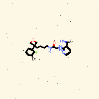 CCc1cccc(C2(CCCCNC(=O)CNc3ncccc3C(=N)C(C)=O)COC2)c1F